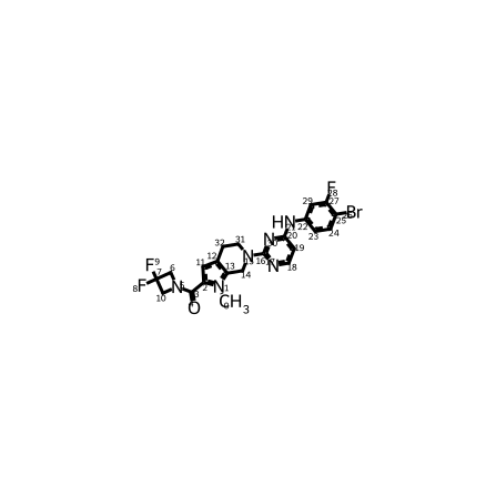 Cn1c(C(=O)N2CC(F)(F)C2)cc2c1CN(c1nccc(Nc3ccc(Br)c(F)c3)n1)CC2